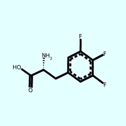 N[C@H](Cc1cc(F)c(F)c(F)c1)C(=O)O